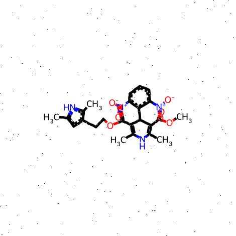 COC(=O)C1=C(C)NC(C)=C(C(=O)OCCc2cc(C)[nH]c2C)C1c1c([N+](=O)[O-])cccc1[N+](=O)[O-]